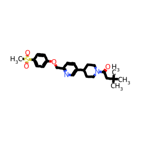 CC(C)(C)CC(=O)N1CCC(c2ccc(COc3ccc(S(C)(=O)=O)cc3)nc2)CC1